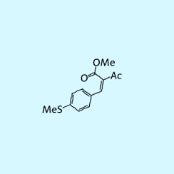 COC(=O)/C(=C\c1ccc(SC)cc1)C(C)=O